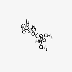 CCCNC(=O)n1c(C)cc2cc(Oc3ccnc4cc(C(=O)N5CCCC5O)sc34)ccc21